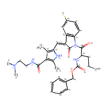 CCN(CC)CCNC(=O)c1c(C)[nH]c(/C=C2\C(=O)N(C(=O)C(CCC=O)NC(=O)OCc3ccccc3)c3ccc(F)cc32)c1C